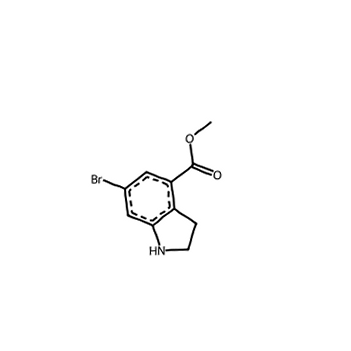 COC(=O)c1cc(Br)cc2c1CCN2